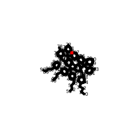 CCCCc1ccc(N2c3ccc(C)cc3C(c3ccccc3)(c3ccccc3)c3cc4c(cc32)C(c2ccc(CCCC)cc2)(c2ccc(CCCC)cc2)c2cc3c(cc2-4)C(c2ccccc2)(c2ccccc2)c2cc(C)ccc2N3c2ccc(CCCC)cc2)cc1